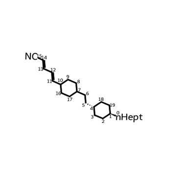 CCCCCCC[C@H]1CC[C@H](CCC2CCC(C=CC=CC#N)CC2)CC1